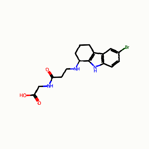 O=C(O)CNC(=O)CCNC1CCCc2c1[nH]c1ccc(Br)cc21